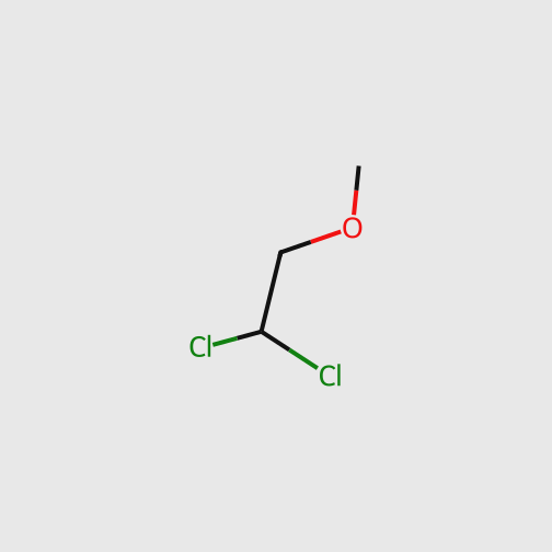 COCC(Cl)Cl